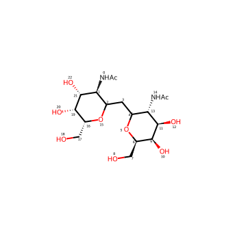 CC(=O)N[C@H]1[C](C[C]2O[C@H](CO)[C@H](O)[C@H](O)[C@H]2NC(C)=O)O[C@H](CO)[C@H](O)[C@@H]1O